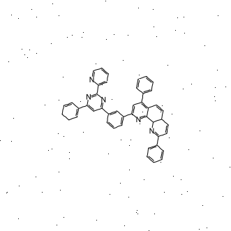 C1=CC(c2cc(-c3cccc(-c4cc(-c5ccccc5)c5c(n4)C4N=C(c6ccccc6)C=CC4C=C5)c3)nc(-c3ccccn3)n2)=CCC1